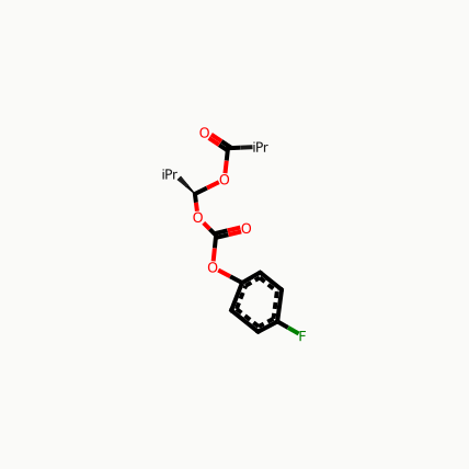 CC(C)C(=O)O[C@@H](OC(=O)Oc1ccc(F)cc1)C(C)C